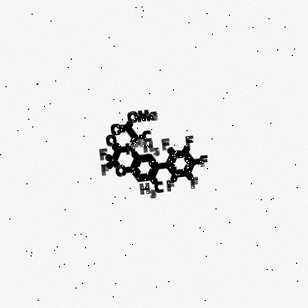 COC(=O)[C@@H](C)N1C(=O)C(F)(F)Oc2cc(C)c(-c3c(F)c(F)c(F)c(F)c3F)cc21